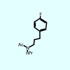 CCCN(CCCc1ccc(F)cc1)C(C)=O